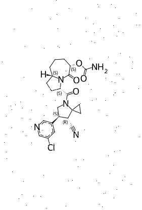 N#C[C@@H]1[C@@H](c2cncc(Cl)c2)CN(C(=O)[C@@H]2CC[C@@H]3CCC[C@H](OC(N)=O)C(=O)N32)C12CC2